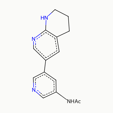 CC(=O)Nc1cncc(-c2cnc3c(c2)CCCN3)c1